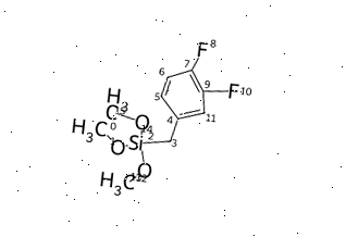 CO[Si](Cc1ccc(F)c(F)c1)(OC)OC